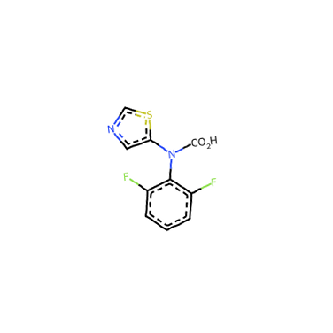 O=C(O)N(c1cncs1)c1c(F)cccc1F